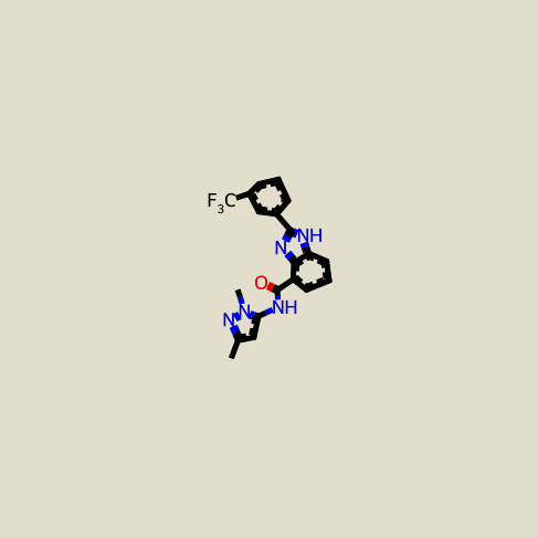 Cc1cc(NC(=O)c2cccc3[nH]c(-c4cccc(C(F)(F)F)c4)nc23)n(C)n1